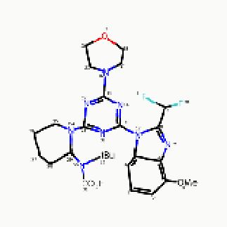 COc1cccc2c1nc(C(F)F)n2-c1nc(N2CCOCC2)nc(N2CCCCC2N(C(=O)O)C(C)(C)C)n1